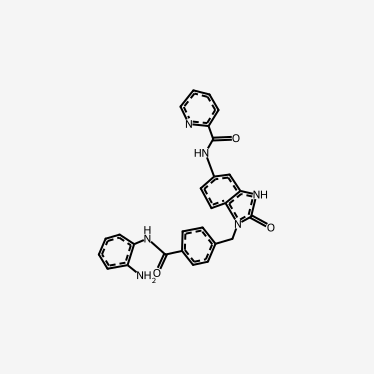 Nc1ccccc1NC(=O)c1ccc(Cn2c(=O)[nH]c3cc(NC(=O)c4ccccn4)ccc32)cc1